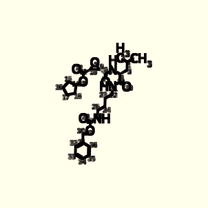 CC(C)C[C@H](NC(=O)[C@H]1O[C@@H]1C(=O)OC1CCCC1)C(=O)NCCCCNC(=O)OCc1ccccc1